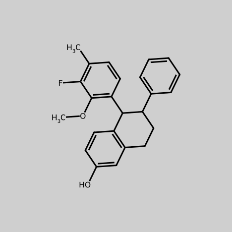 COc1c(C2c3ccc(O)cc3CCC2c2ccccc2)ccc(C)c1F